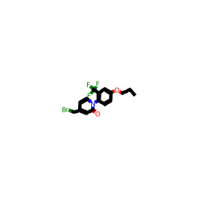 CCCOc1ccc(-n2ccc(CBr)cc2=O)c(C(F)(F)F)c1